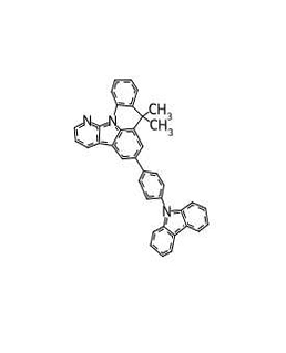 CC1(C)c2ccccc2-n2c3ncccc3c3cc(-c4ccc(-n5c6ccccc6c6ccccc65)cc4)cc1c32